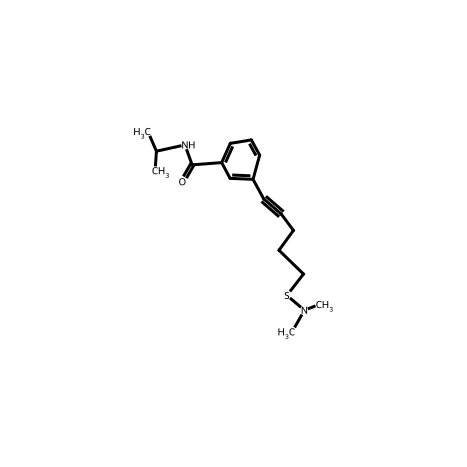 CC(C)NC(=O)c1cccc(C#CCCCSN(C)C)c1